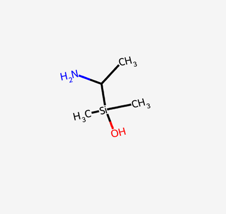 CC(N)[Si](C)(C)O